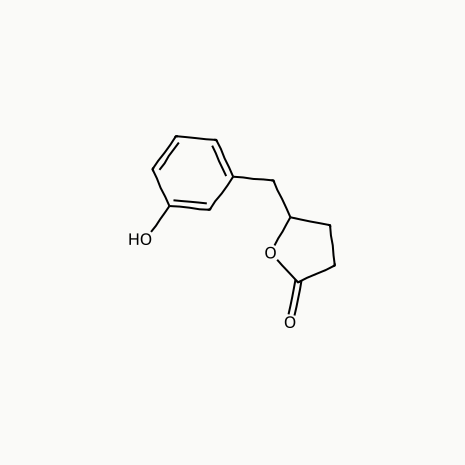 O=C1CCC(Cc2cccc(O)c2)O1